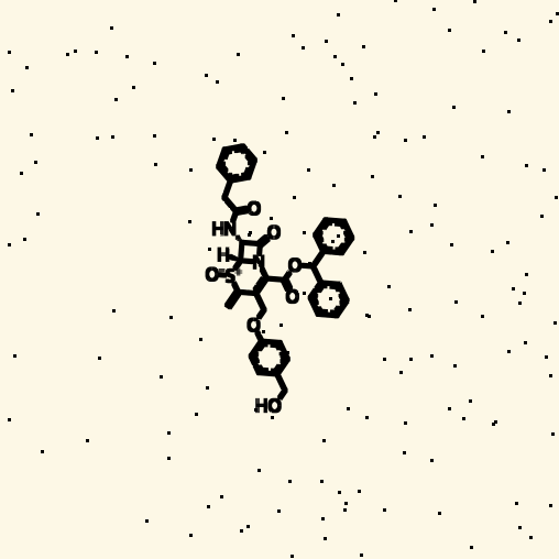 C=C1C(COc2ccc(CO)cc2)=C(C(=O)OC(c2ccccc2)c2ccccc2)N2C(=O)[C@@H](NC(=O)Cc3ccccc3)[C@H]2[S+]1[O-]